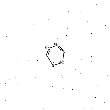 C1=[13CH][13CH]=[13CH][13CH2]S1